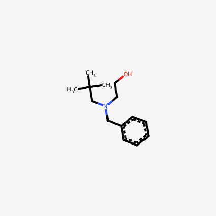 CC(C)(C)CN(CCO)Cc1ccccc1